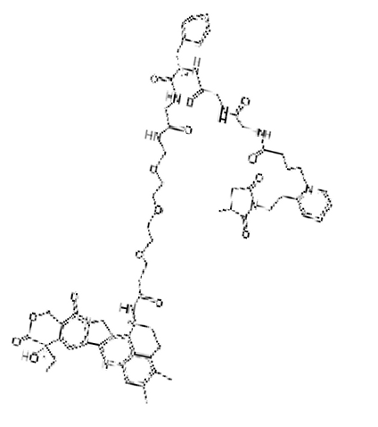 CC[C@@]1(O)C(=O)OCc2c1cc1n(c2=O)Cc2c-1nc1cc(C)c(C)c3c1c2[C@@H](NC(=O)CCOCCOCCOCNC(=O)CNC(=O)[C@H](Cc1ccccc1)NC(=O)CNC(=O)CNC(=O)CCC[n+]1ccccc1CCN1C(=O)CC(C)C1=O)CC3